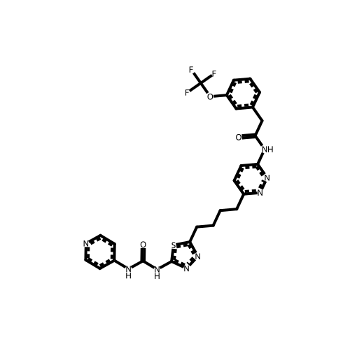 O=C(Cc1cccc(OC(F)(F)F)c1)Nc1ccc(CCCCc2nnc(NC(=O)Nc3ccncc3)s2)nn1